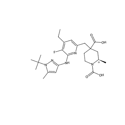 CCc1cc(CC2(C(=O)O)CCN(C(=O)O)[C@H](C)C2)nc(Nc2cc(C)n(C(C)(C)C)n2)c1F